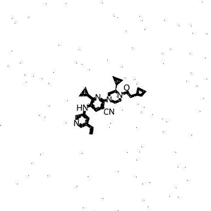 C=Cc1cncc(Nc2cc(C#N)c(N3CCN(C(=O)CC4CCC4)[C@H](C4CC4)C3)nc2C2CC2)c1